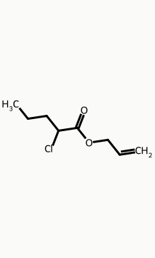 C=CCOC(=O)C(Cl)CCC